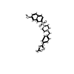 COc1ccc2ccc(S(=O)(=O)N3CCN(Cc4ccc(-c5noc(C)n5)cc4)CC3)cc2c1